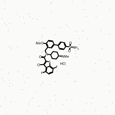 CNC1CCC(N(Cc2cc(-c3ccc(S(N)(=O)=O)cc3)ccc2OC)C(=O)c2sc3c(F)ccc(F)c3c2Cl)CC1.Cl